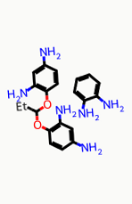 CCC(Oc1ccc(N)cc1N)Oc1ccc(N)cc1N.Nc1ccccc1N